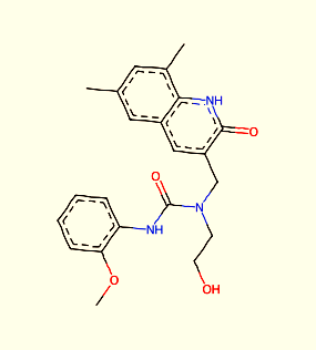 COc1ccccc1NC(=O)N(CCO)Cc1cc2cc(C)cc(C)c2[nH]c1=O